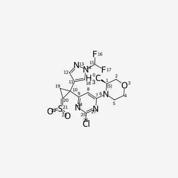 C[C@H]1COCCN1c1cc(C2(c3cnn(C(F)F)c3)CC2=S(=O)=O)nc(Cl)n1